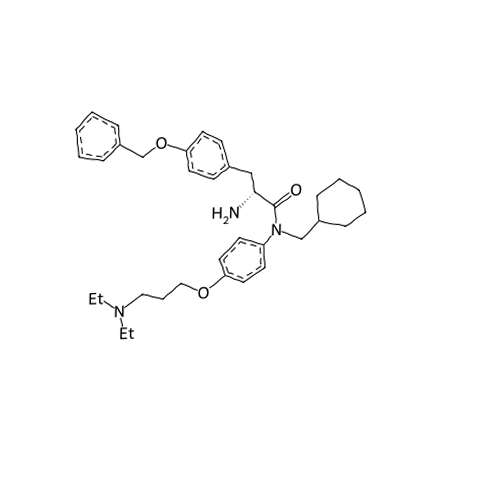 CCN(CC)CCCOc1ccc(N(CC2CCCCC2)C(=O)[C@H](N)Cc2ccc(OCc3ccccc3)cc2)cc1